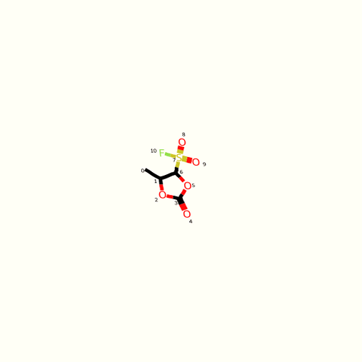 CC1OC(=O)OC1S(=O)(=O)F